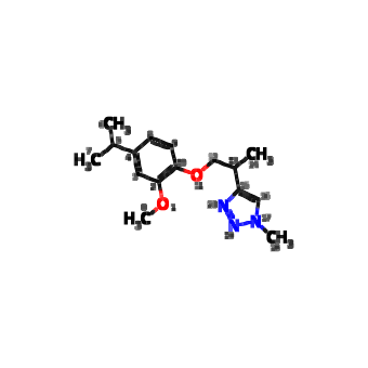 COc1cc(C(C)C)ccc1OCC(C)c1cn(C)nn1